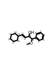 COC(c1ccccc1)C(O)/C=C/C1CCCCC1